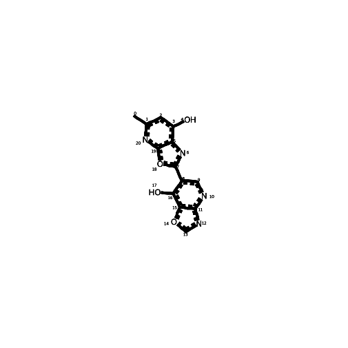 Cc1cc(O)c2nc(-c3cnc4ncoc4c3O)oc2n1